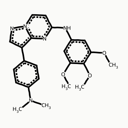 COc1cc(Nc2ccn3ncc(-c4ccc(N(C)C)cc4)c3n2)cc(OC)c1OC